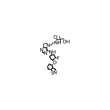 CC(C)(CO)C(=O)NCCN1CCc2ncnc(Nc3ccc(Oc4cccc5sncc45)c(F)c3)c21